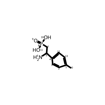 Cc1ccc(C(N)CP(=O)(O)O)cc1